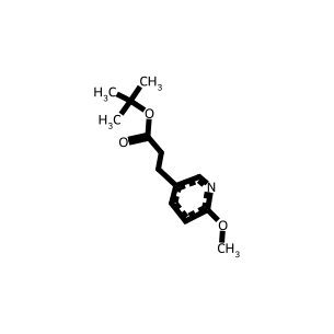 COc1ccc(CCC(=O)OC(C)(C)C)cn1